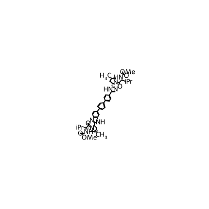 COC(=O)NC(C(=O)N1C[C@@H](C)C[C@H]1c1ncc(-c2ccc(-c3ccc(-c4ccc5nc(C6C[C@H](C)CN6C(=O)[C@@H](NC(=O)OC)C(C)C)[nH]c5c4)cc3)cc2)[nH]1)C(C)C